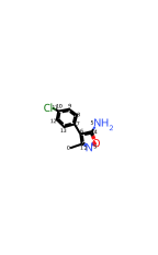 Cc1noc(N)c1-c1ccc(Cl)cc1